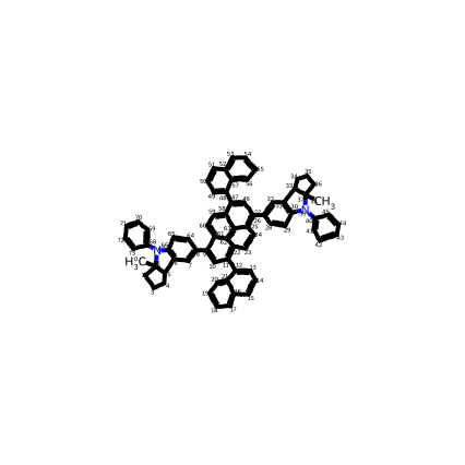 CC12CCCC1c1cc(-c3cc(-c4cccc5ccccc45)c4ccc5c(-c6ccc7c(c6)C6CCCC6(C)N7c6ccccc6)cc(-c6cccc7ccccc67)c6ccc3c4c56)ccc1N2c1ccccc1